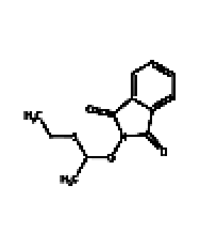 CCSC(C)ON1C(=O)c2ccccc2C1=O